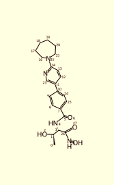 C[C@@H](O)[C@H](NC(=O)c1ccc(-c2ccc(N3CCCCCC3)nc2)cc1)C(=O)NO